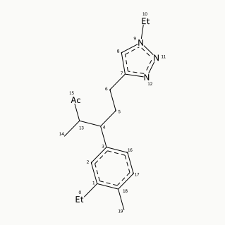 CCc1cc(C(CCc2cn(CC)nn2)C(C)C(C)=O)ccc1C